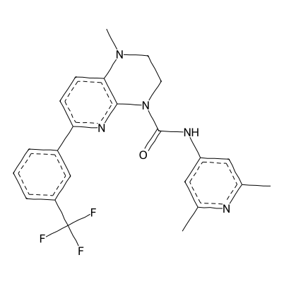 Cc1cc(NC(=O)N2CCN(C)c3ccc(-c4cccc(C(F)(F)F)c4)nc32)cc(C)n1